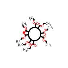 CCOC(=O)C1CCC(C(=O)OCC)C(C(=O)OCC)CC(C(=O)OCC)C(C(=O)OCC)CCC(C(=O)OCC)C(C(=O)OCC)CC1C(=O)OCC